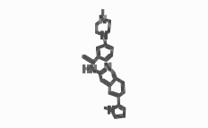 C=C(Nc1cc2cc(-c3cccn3C)ccc2cn1)c1cccc(N2CCN(C)CC2)c1